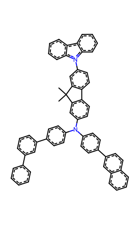 CC1(C)c2cc(N(c3ccc(-c4cccc(-c5ccccc5)c4)cc3)c3ccc(-c4ccc5ccccc5c4)cc3)ccc2-c2ccc(-n3c4ccccc4c4ccccc43)cc21